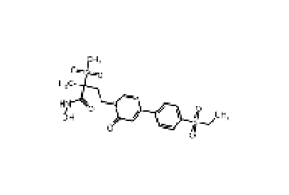 CCS(=O)(=O)c1ccc(-c2ccn(CCC(C)(C(=O)NO)S(C)(=O)=O)c(=O)c2)cc1